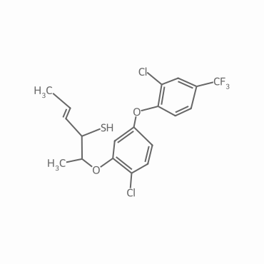 CC=CC(S)C(C)Oc1cc(Oc2ccc(C(F)(F)F)cc2Cl)ccc1Cl